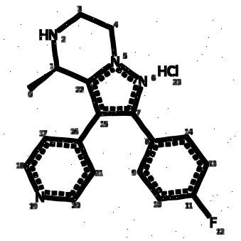 C[C@H]1NCCn2nc(-c3ccc(F)cc3)c(-c3ccncc3)c21.Cl